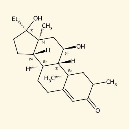 CC[C@@]1(O)CC[C@H]2[C@@H]3CCC4=CC(=O)C(C)C[C@]4(C)[C@H]3[C@H](O)C[C@@]21C